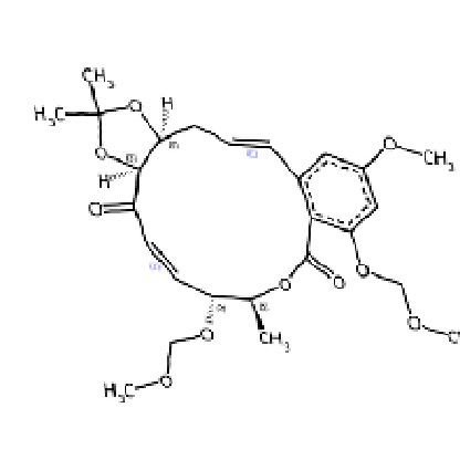 COCOc1cc(OC)cc2c1C(=O)O[C@@H](C)[C@H](OCOC)/C=C\C(=O)[C@H]1OC(C)(C)O[C@H]1C/C=C/2